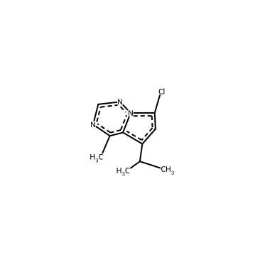 Cc1ncnn2c(Cl)cc(C(C)C)c12